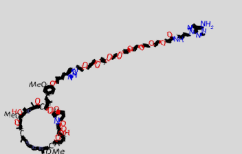 CO[C@H]1C[C@@H]2CC[C@@H](C)[C@@](O)(O2)C(=O)C(=O)N2CCCC[C@H]2C(=O)O[C@H]([C@H](C)C[C@@H]2CC[C@@H](OCCCCc3cn(CCOCCOCCOCCOCCOCCOCCOCCOCCC(=O)NCCCCn4ncc5c(N)ncnc54)nn3)[C@H](OC)C2)CC(=O)[C@H](C)/C=C(\C)[C@@H](O)[C@@H](OC)C(=O)[C@H](C)C[C@H](C)/C=C/C=C/C=C/1C